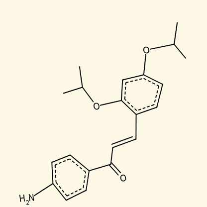 CC(C)Oc1ccc(/C=C/C(=O)c2ccc(N)cc2)c(OC(C)C)c1